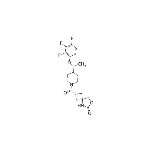 CC(Oc1ccc(F)c(F)c1F)C1CCN(C(=O)[C@H]2C[C@@]3(COC(=O)N3)C2)CC1